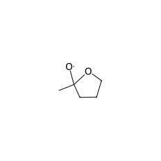 CC1([O])CCCO1